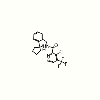 O=C(NCc1ccccc1C1(O)CCCC1)c1nccc(C(F)(F)F)c1Cl